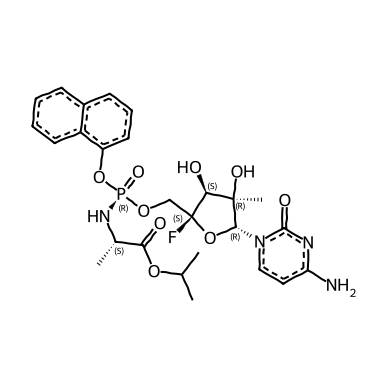 CC(C)OC(=O)[C@H](C)N[P@@](=O)(OC[C@@]1(F)O[C@@H](n2ccc(N)nc2=O)[C@](C)(O)[C@@H]1O)Oc1cccc2ccccc12